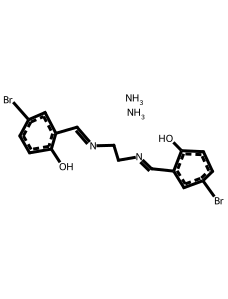 N.N.Oc1ccc(Br)cc1C=NCCN=Cc1cc(Br)ccc1O